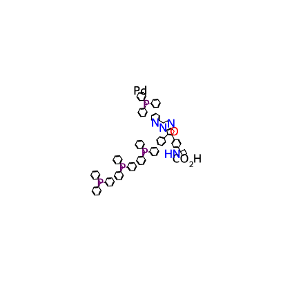 O=C(O)NC1(c2ccc(-c3oc4ncc(-c5ccccn5)nc4c3-c3ccccc3)cc2)CCC1.[Pd].c1ccc(P(c2ccccc2)c2ccccc2)cc1.c1ccc(P(c2ccccc2)c2ccccc2)cc1.c1ccc(P(c2ccccc2)c2ccccc2)cc1.c1ccc(P(c2ccccc2)c2ccccc2)cc1